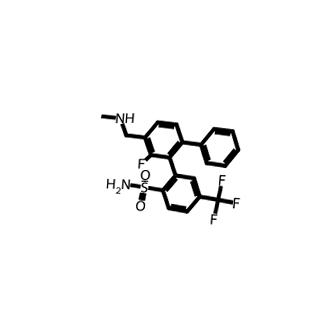 CNCc1ccc(-c2ccccc2)c(-c2cc(C(F)(F)F)ccc2S(N)(=O)=O)c1F